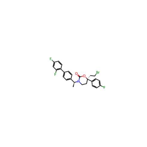 C[C@@H](c1ccc(-c2ccc(F)cc2F)cc1)N1CC[C@](CCBr)(c2ccc(F)cc2)OC1=O